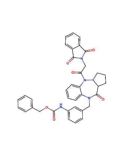 O=C(Nc1cccc(CN2C(=O)C3CCCC3N(C(=O)CN3C(=O)c4ccccc4C3=O)c3ccccc32)c1)OCc1ccccc1